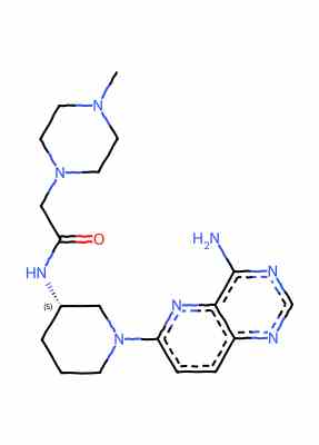 CN1CCN(CC(=O)N[C@H]2CCCN(c3ccc4ncnc(N)c4n3)C2)CC1